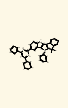 CC1(C)c2ccccc2-c2c1n(-c1ccccc1)c1c2oc2ccc(-c3nc(-c4ccccc4)cc(-c4ccccc4)n3)cc21